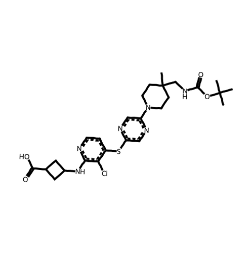 CC1(CNC(=O)OC(C)(C)C)CCN(c2cnc(Sc3ccnc(NC4CC(C(=O)O)C4)c3Cl)cn2)CC1